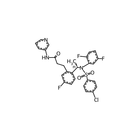 C[C@H](c1ccc(F)cc1CCC(=O)Nc1cccnc1)N(c1cc(F)ccc1F)S(=O)(=O)c1ccc(Cl)cc1